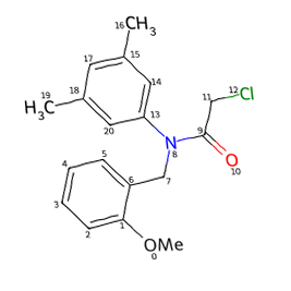 COc1ccccc1CN(C(=O)CCl)c1cc(C)cc(C)c1